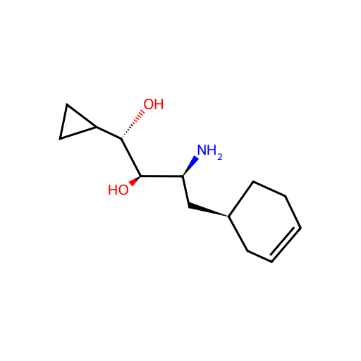 N[C@@H](C[C@@H]1CC=CCC1)[C@@H](O)[C@@H](O)C1CC1